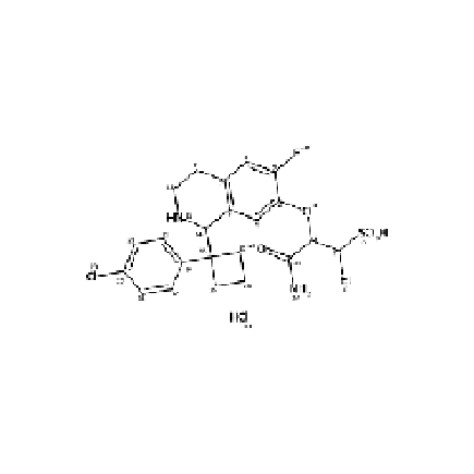 CCC(C(Oc1cc2c(cc1F)CCNC2C1(c2ccc(Cl)cc2)CCC1)C(N)=O)S(=O)(=O)O.Cl